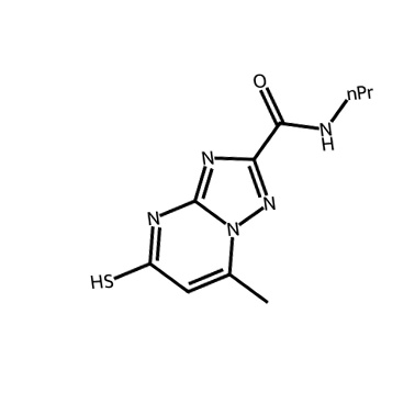 CCCNC(=O)c1nc2nc(S)cc(C)n2n1